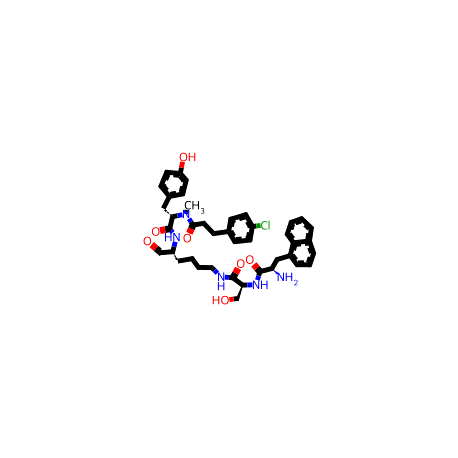 CN(C(=O)CCc1ccc(Cl)cc1)[C@@H](Cc1ccc(O)cc1)C(=O)N[C@@H]([C]=O)CCCCNC(=O)[C@H](CO)NC(=O)[C@@H](N)Cc1cccc2ccccc12